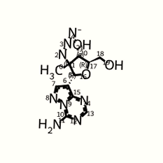 C[C@]1(N=[N+]=[N-])[C@@H](c2cnn3c(N)ncnc23)O[C@H](CO)[C@H]1O